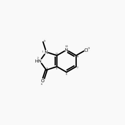 Cn1[nH]c(=O)c2ccc(Cl)nc21